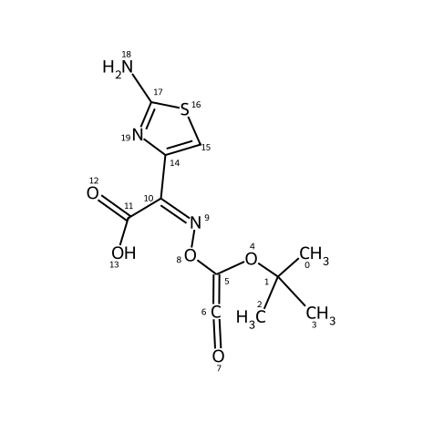 CC(C)(C)OC(=C=O)ON=C(C(=O)O)c1csc(N)n1